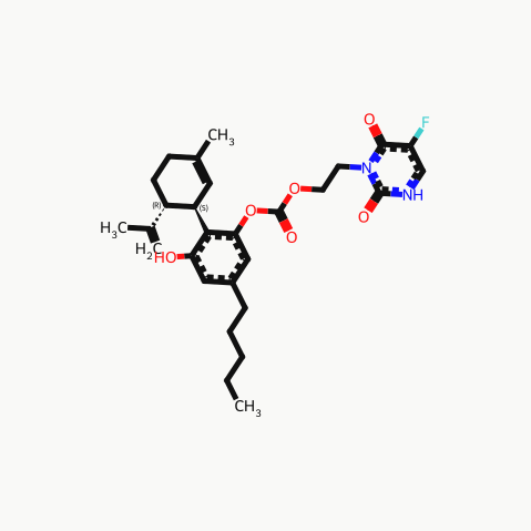 C=C(C)[C@@H]1CCC(C)=C[C@H]1c1c(O)cc(CCCCC)cc1OC(=O)OCCn1c(=O)[nH]cc(F)c1=O